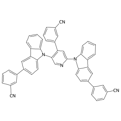 N#Cc1cccc(-c2ccc3c(c2)c2ccccc2n3-c2cc(-c3cccc(C#N)c3)c(-n3c4ccccc4c4cc(-c5cccc(C#N)c5)ccc43)cn2)c1